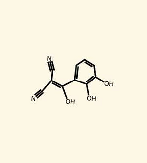 N#CC(C#N)=C(O)c1cccc(O)c1O